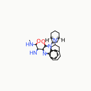 CNC(=O)C(=N)c1nc2ccccc2n([C@@H]2C[C@@H]3CCC[C@H]2N3C2CC3CCCCC(C3)C2)c1=O